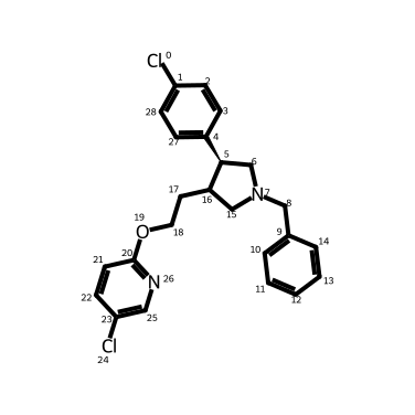 Clc1ccc([C@H]2CN(Cc3ccccc3)CC2CCOc2ccc(Cl)cn2)cc1